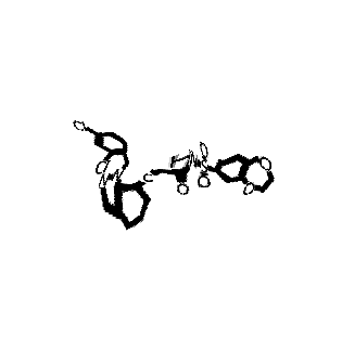 O=C(C=C=C1CCCc2cnn(Cc3ccc(Cl)cc3Cl)c21)NS(=O)(=O)c1ccc2c(c1)OCCO2